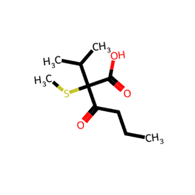 CCCC(=O)C(SC)(C(=O)O)C(C)C